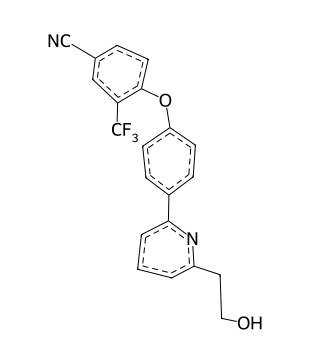 N#Cc1ccc(Oc2ccc(-c3cccc(CCO)n3)cc2)c(C(F)(F)F)c1